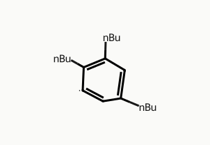 CCCCc1c[c]c(CCCC)c(CCCC)c1